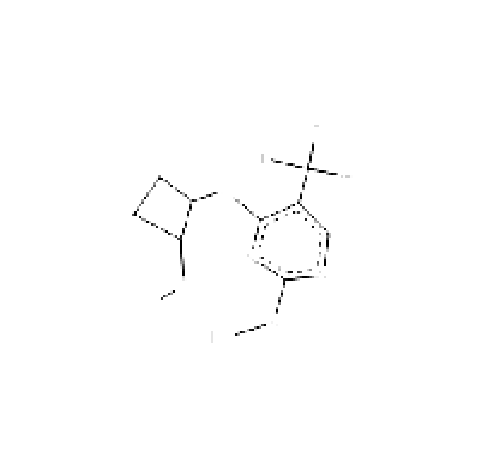 COC1CCC1Oc1nc(SC)ncc1C(F)(F)F